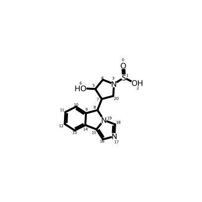 O=S(O)N1CC(O)C(C2c3ccccc3-c3cncn32)C1